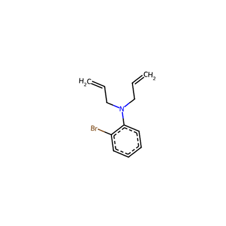 C=CCN(CC=C)c1ccccc1Br